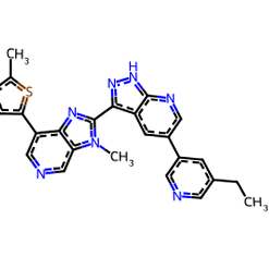 CCc1cncc(-c2cnc3[nH]nc(-c4nc5c(-c6ccc(C)s6)cncc5n4C)c3c2)c1